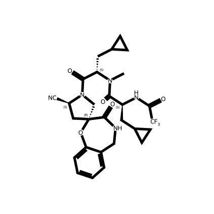 CN(C(=O)[C@H](CC1CC1)NC(=O)C(F)(F)F)[C@@H](CC1CC1)C(=O)N1C[C@@]2(C[C@H]1C#N)Oc1ccccc1CNC2=O